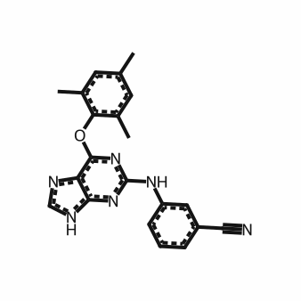 Cc1cc(C)c(Oc2nc(Nc3cccc(C#N)c3)nc3[nH]cnc23)c(C)c1